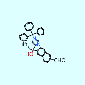 CC(C)CC(O)(c1ccc2cc(C=O)ccc2c1)c1cn(C(c2ccccc2)(c2ccccc2)c2ccccc2)cn1